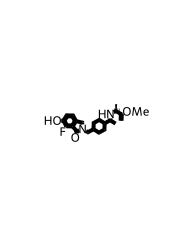 C=C(OC)[C@H](C)NC(C)C1CCC(CN2Cc3ccc(O)c(F)c3C2=O)CC1